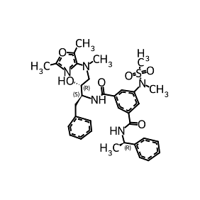 Cc1nc(N(C)C[C@@H](O)[C@H](Cc2ccccc2)NC(=O)c2cc(C(=O)N[C@H](C)c3ccccc3)cc(N(C)S(C)(=O)=O)c2)c(C)o1